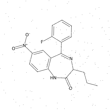 CCCC1N=C(c2ccccc2F)c2cc([N+](=O)[O-])ccc2NC1=O